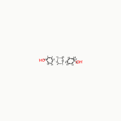 Oc1ccc([C@H]2CC[C@@H](c3ccc(O)cc3)CC2)cc1